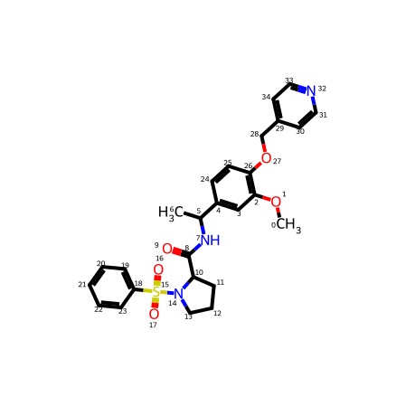 COc1cc(C(C)NC(=O)C2CCCN2S(=O)(=O)c2ccccc2)ccc1OCc1ccncc1